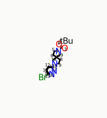 CC(C)(C)OC(=O)N1CCC2(CCN(c3ccc(Br)nn3)C2)C1